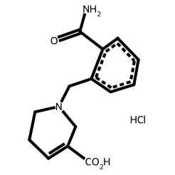 Cl.NC(=O)c1ccccc1CN1CCC=C(C(=O)O)C1